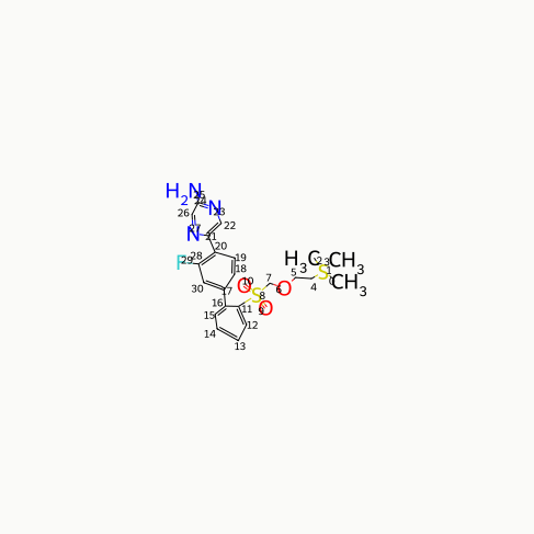 CS(C)(C)CCOCS(=O)(=O)c1ccccc1-c1ccc(-c2cnc(N)cn2)c(F)c1